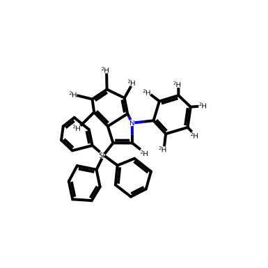 [2H]c1c([2H])c([2H])c(-n2c([2H])c([Si](c3ccccc3)(c3ccccc3)c3ccccc3)c3c([2H])c([2H])c([2H])c([2H])c32)c([2H])c1[2H]